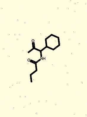 CCCC(=O)NC(C(C)=O)C1CCCCC1